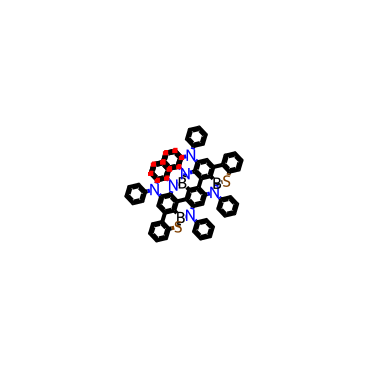 c1ccc(N2B3Sc4ccccc4-c4cc(N(c5ccccc5)c5ccccc5)c5c(c43)-c3c2cc2c4c3B(N5c3ccccc3)N(c3ccccc3)c3c(N(c5ccccc5)c5ccccc5)cc5c(c3-4)B(Sc3ccccc3-5)N2c2ccccc2)cc1